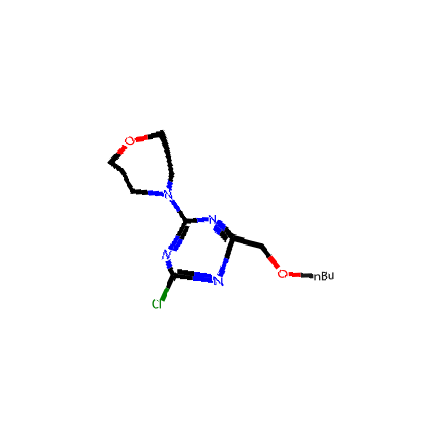 CCCCOCc1nc(Cl)nc(N2CCOCC2)n1